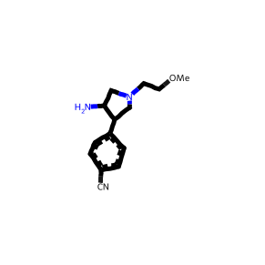 COCCN1CC(N)C(c2ccc(C#N)cc2)C1